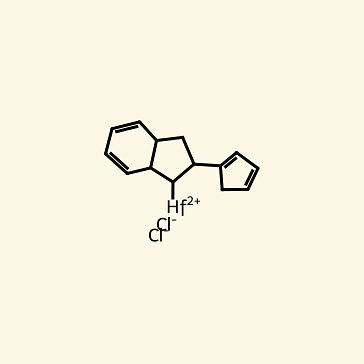 [Cl-].[Cl-].[Hf+2][CH]1C(C2=CC=CC2)CC2C=CC=CC21